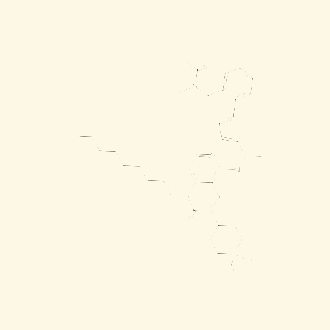 CC(Nc1ncnc2c1cc(C1CCS(O)(O)CC1)c(=O)n2CCCCCCCCO)c1ccc(-c2ccccc2CN(C)C(=O)O)s1